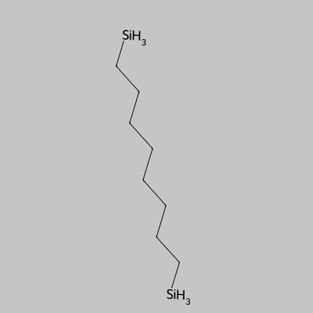 [SiH3]CCCCCCCC[SiH3]